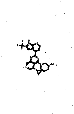 N[C@H]1CCCN(c2nc(-c3ccnc4[nH]c(C(F)(F)F)cc34)nc3cncc(C4CC4)c23)C1